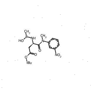 CB(O)N[C@H](CC(=O)OC(C)(C)C)C(=O)N(C)c1cccc([N+](=O)[O-])c1